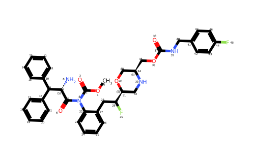 COC(=O)N(C(=O)[C@@H](N)C(c1ccccc1)c1ccccc1)c1ccccc1CC(F)[C@@H]1CN[C@H](COC(=O)NCc2ccc(F)cc2)CO1